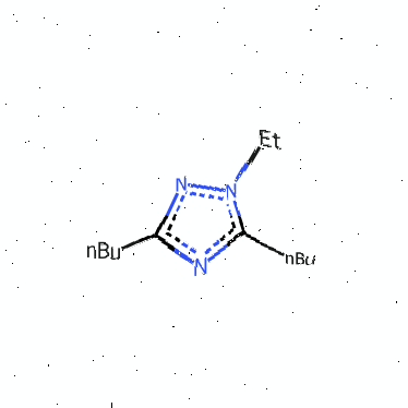 CCCCc1nc(CCCC)n(CC)n1